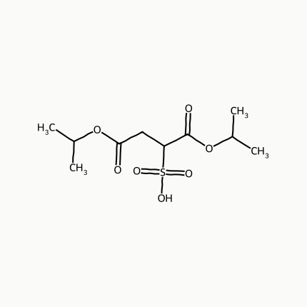 CC(C)OC(=O)CC(C(=O)OC(C)C)S(=O)(=O)O